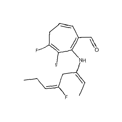 C/C=C(\C/C(F)=C\CC)NC1=C(C=O)C=CCC(F)=C1F